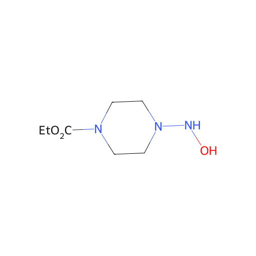 CCOC(=O)N1CCN(NO)CC1